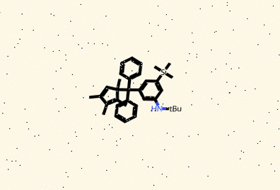 CC1=CC(C)(C(c2ccccc2)(c2ccccc2)c2cc(NC(C)(C)C)cc([Si](C)(C)C)c2)C(C)=C1C